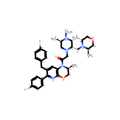 C[C@@H]1CN(CC(=O)N2c3cc(Cc4ccc(F)cc4)c(-c4ccc(F)cc4)nc3OC[C@@H]2C)[C@@H](CN2[C@H](C)COC[C@H]2C)CN1C(=O)O